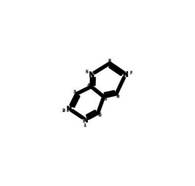 [c]1nncc2ncncc12